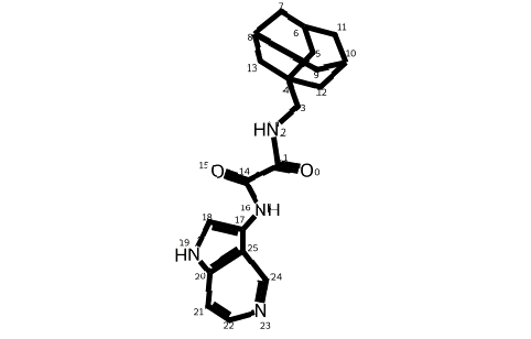 O=C(NCC12CC3CC(CC(C3)C1)C2)C(=O)Nc1c[nH]c2ccncc12